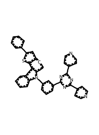 c1ccc(-c2cc3ccc4c(c5ccccc5n4-c4cccc(-c5nc(-c6ccncc6)nc(-c6ccncc6)n5)c4)c3s2)cc1